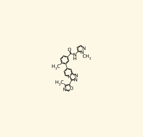 Cc1ccc(C(=O)Nc2ccnn2C)cc1-c1ccn2c(-c3ocnc3C)nnc2c1